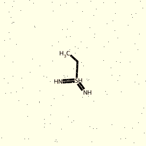 CC[SH](=N)=N